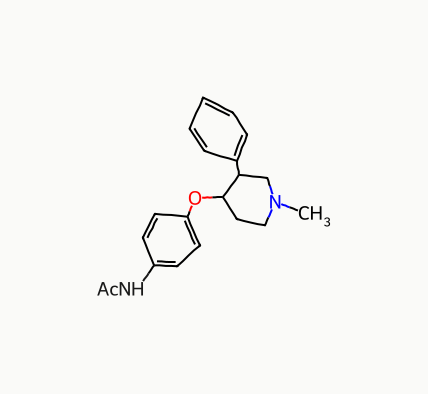 CC(=O)Nc1ccc(OC2CCN(C)CC2c2ccccc2)cc1